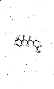 CC[C@@H](CC(=O)O)NC(=O)Nc1ccccc1C